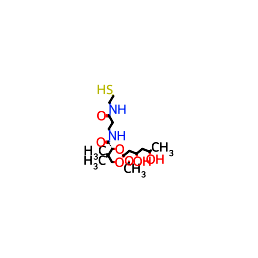 COC1(CC(O)CC(C)O)OCC(C)(C)[C@H](C(=O)NCCC(=O)NCCS)O1